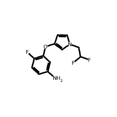 Nc1ccc(F)c(Oc2ccn(CC(F)F)c2)c1